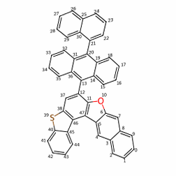 c1ccc2cc3c(cc2c1)oc1c(-c2c4ccccc4c(-c4cccc5ccccc45)c4ccccc24)cc2sc4ccccc4c2c13